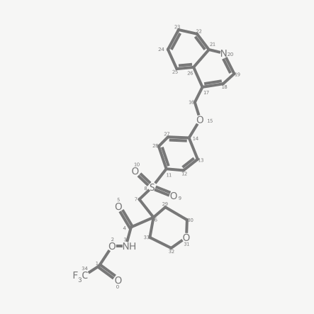 O=C(ONC(=O)C1(CS(=O)(=O)c2ccc(OCc3ccnc4ccccc34)cc2)CCOCC1)C(F)(F)F